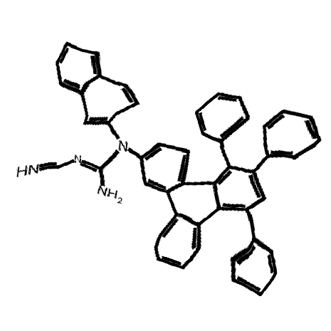 N=C/N=C(\N)N(c1ccc2ccccc2c1)c1ccc2c(c1)c1ccccc1c1c(-c3ccccc3)cc(-c3ccccc3)c(-c3ccccc3)c21